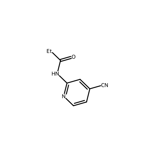 CCC(=O)Nc1cc(C#N)ccn1